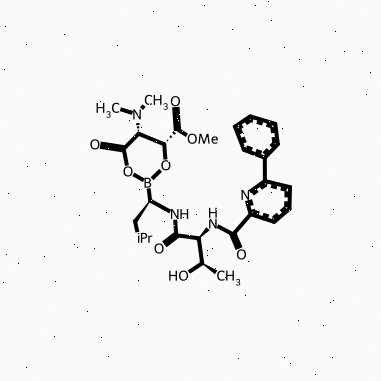 COC(=O)[C@@H]1OB([C@H](CC(C)C)NC(=O)[C@@H](NC(=O)c2cccc(-c3ccccc3)n2)[C@@H](C)O)OC(=O)[C@@H]1N(C)C